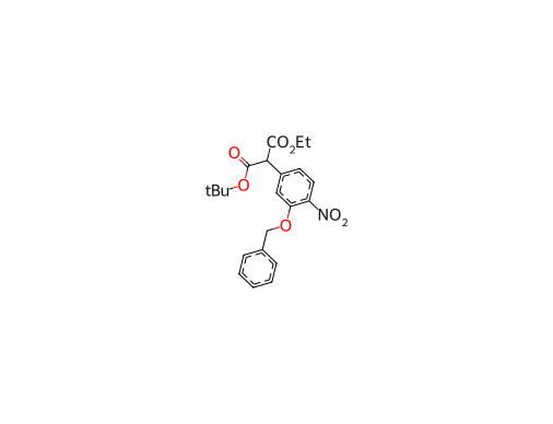 CCOC(=O)C(C(=O)OC(C)(C)C)c1ccc([N+](=O)[O-])c(OCc2ccccc2)c1